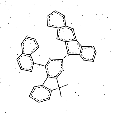 CC1(C)c2ccccc2-c2c(-c3cccc4ccccc34)nc(-n3c4ccccc4c4cc5ccccc5cc43)nc21